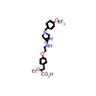 CCO[C@@H](Cc1ccc(OCCN[C@H]2C3CN(Cc4ccc(OC(F)(F)F)cc4)C[C@@H]32)cc1)C(=O)O